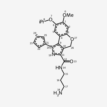 COc1cc2c(cc1OC(C)C)-c1c(c(C(=O)NCCCN)nn1-c1ccsc1)CO2